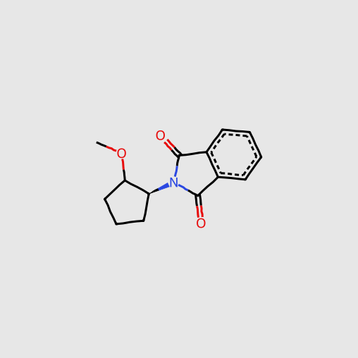 COC1CCC[C@@H]1N1C(=O)c2ccccc2C1=O